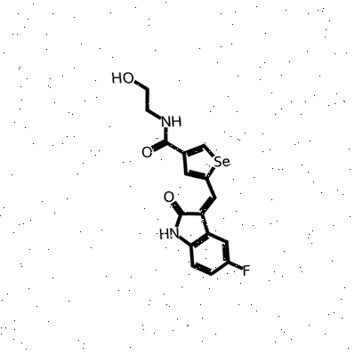 O=C1Nc2ccc(F)cc2C1=Cc1cc(C(=O)NCCO)c[se]1